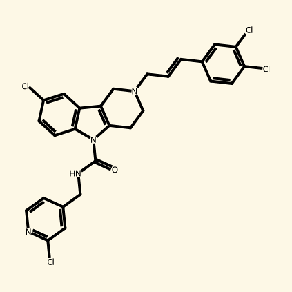 O=C(NCc1ccnc(Cl)c1)n1c2c(c3cc(Cl)ccc31)CN(CC=Cc1ccc(Cl)c(Cl)c1)CC2